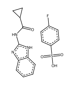 O=C(Nc1nc2ccccc2[nH]1)C1CC1.O=S(=O)(O)c1ccc(F)cc1